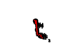 CC1(C)OCc2cc([C@H](O)CNCCCCCCOCCCCc3cccc(NC(=O)Nc4cccc(C(F)(F)F)c4)c3)ccc2O1